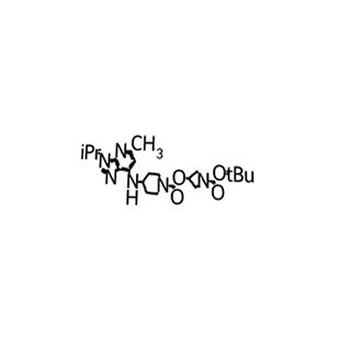 Cc1cc(NC2CCN(C(=O)OC3CN(C(=O)OC(C)(C)C)C3)CC2)c2ncn(C(C)C)c2n1